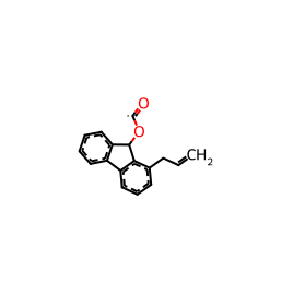 C=CCc1cccc2c1C(O[C]=O)c1ccccc1-2